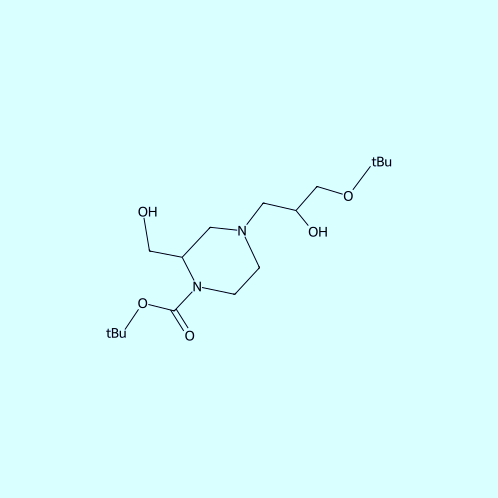 CC(C)(C)OCC(O)CN1CCN(C(=O)OC(C)(C)C)C(CO)C1